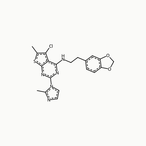 Cc1sc2nc(-n3ccnc3C)nc(NCCc3ccc4c(c3)OCO4)c2c1Cl